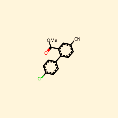 COC(=O)c1cc(C#N)ccc1-c1ccc(Cl)cc1